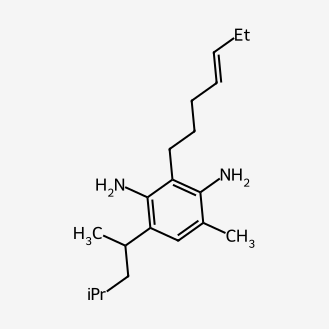 CCC=CCCCc1c(N)c(C)cc(C(C)CC(C)C)c1N